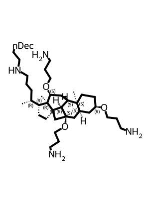 CCCCCCCCCCCCNCCC[C@@H](C)[C@H]1CC[C@]23C[C@@]4(OCCCN)C[C@@H]5C[C@H](OCCCN)CC[C@]5(C)[C@@H](C[C@H](OCCCN)[C@]12C)[C@@H]43